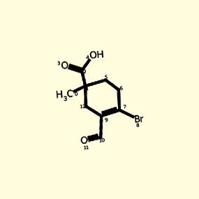 CC1(C(=O)O)CCC(Br)=C(C=O)C1